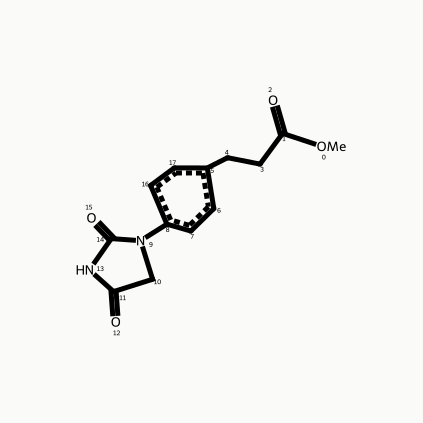 COC(=O)CCc1ccc(N2CC(=O)NC2=O)cc1